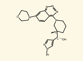 CC(C)n1cc([C@@H](O)[C@@]2(I)CCCN(c3nnnc4cc(N5CCOCC5)ccc34)C2)cn1